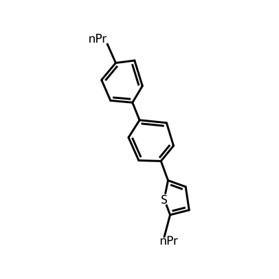 CCCc1ccc(-c2ccc(-c3ccc(CCC)s3)cc2)cc1